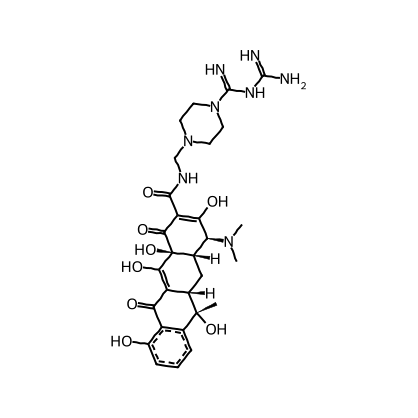 CN(C)[C@@H]1C(O)=C(C(=O)NCN2CCN(C(=N)NC(=N)N)CC2)C(=O)[C@@]2(O)C(O)=C3C(=O)c4c(O)cccc4[C@@](C)(O)[C@H]3C[C@@H]12